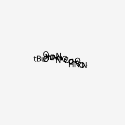 CN1CCC(NC(=O)c2ccc(COc3cnc(N4CCN(C(=O)OC(C)(C)C)CC4)nc3)cc2)CC1